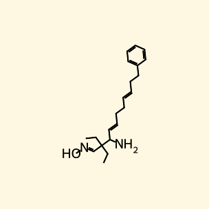 CCC(C=NO)(CC)C(N)C=CCCC=CCCc1ccccc1